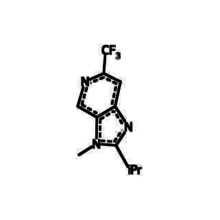 CC(C)c1nc2cc(C(F)(F)F)ncc2n1C